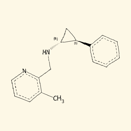 Cc1cccnc1CN[C@@H]1C[C@H]1c1ccccc1